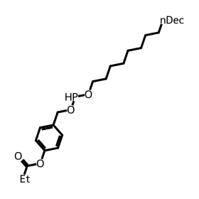 CCCCCCCCCCCCCCCCCCOPOCc1ccc(OC(=O)CC)cc1